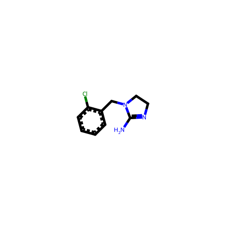 NC1=NCCN1Cc1ccccc1Cl